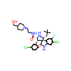 CC(C)(C)C[C@H]1N[C@@H](C(=O)NCCN2CCC(CO)CC2)[C@H](c2cccc(Cl)c2)[C@@]12C(=O)Nc1cc(Cl)c(F)cc12